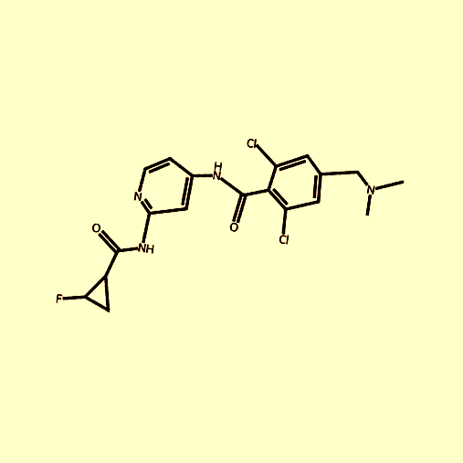 CN(C)Cc1cc(Cl)c(C(=O)Nc2ccnc(NC(=O)C3CC3F)c2)c(Cl)c1